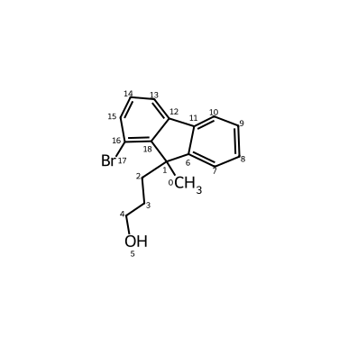 CC1(CCCO)c2ccccc2-c2cccc(Br)c21